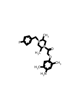 Cc1cc(OCC(=O)N2CC(C)N(Cc3ccc(F)cc3)CC2C)c(C)cc1N